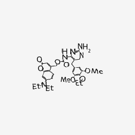 CCOc1c(OC)cc(Cc2cnc(N)nc2NC(=O)OCc2cc(=O)oc3cc(N(CC)CC)ccc23)cc1OC